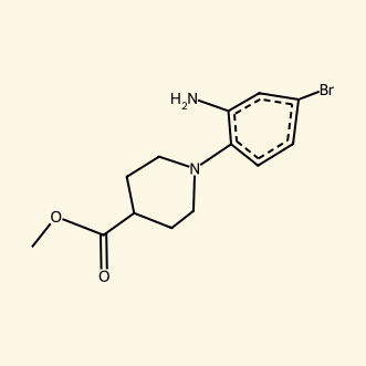 COC(=O)C1CCN(c2ccc(Br)cc2N)CC1